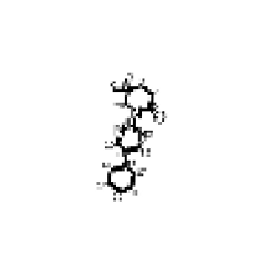 CC1(C)CCC(=O)N(c2ncc(-c3ccccc3)cn2)C1